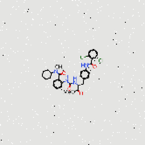 COC(=O)[C@H](Cc1ccc(NC(=O)c2c(Cl)cccc2Cl)cc1)NC(=O)Nc1ccccc1C(=O)N(C)C1CCCCC1